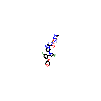 Cc1nnc(N(C)S(=O)(=O)NC(=O)c2cnc3ccc(N4CC(F)CC4c4cc(F)ccc4OC4CCOCC4)cn23)s1